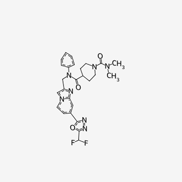 CN(C)C(=O)N1CCC(C(=O)N(Cc2cn3ccc(-c4nnc(C(F)F)o4)cc3n2)c2ccccc2)CC1